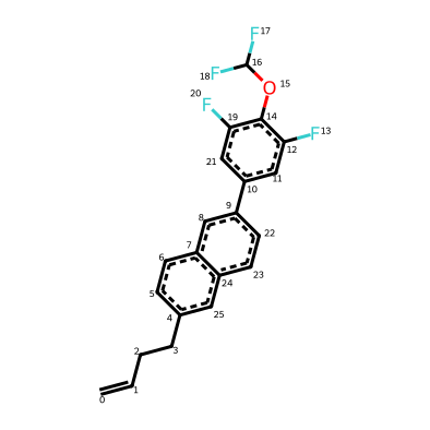 C=CCCc1ccc2cc(-c3cc(F)c(OC(F)F)c(F)c3)ccc2c1